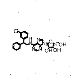 OC[C@H]1O[C@@H](n2cnc3c(NCC(c4ccccc4)c4cccc(Cl)c4)ncnc32)C(O)C1O